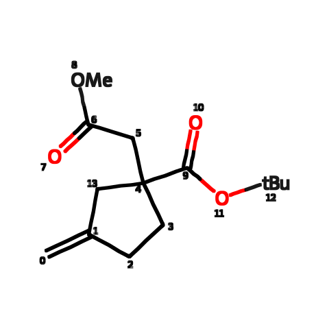 C=C1CCC(CC(=O)OC)(C(=O)OC(C)(C)C)C1